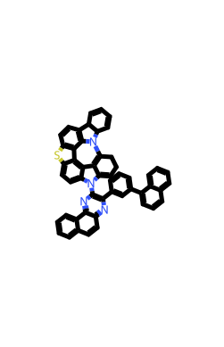 C1=CC2c3ccc4sc5ccc6c7c8c(n(c3c4c57)C2C=C1)CCC=c8n6-c1nc2c(ccc3ccccc32)nc1-c1cccc(-c2cccc3ccccc23)c1